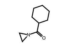 O=C(C1CCCCC1)N1CC1